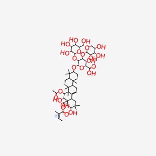 C/C=C(/C)C(=O)OC1C(O)C(C)(C)CC2C3=CCC4C5(C)CCC(OC6OC(C(=O)O)C(O)C(OC7OCC(O)C(O)C7O)C6OC6OC(CO)C(O)C(O)C6O)C(C)(C)C5CCC4(C)C3(C)C(OC(C)=O)C(O)C21CO